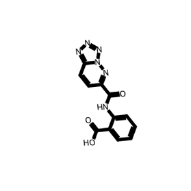 O=C(Nc1ccccc1C(=O)O)c1ccc2nnnn2n1